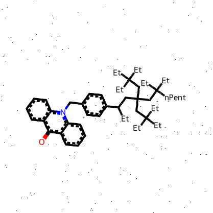 CCCCCC(CC)(CC)CC(CC(CC)c1ccc(Cn2c3ccccc3c(=O)c3ccccc32)cc1)(CC(CC)(CC)CC)CC(CC)(CC)CC